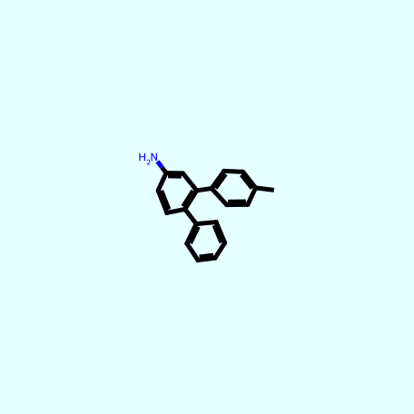 Cc1ccc(-c2cc(N)ccc2-c2ccccc2)cc1